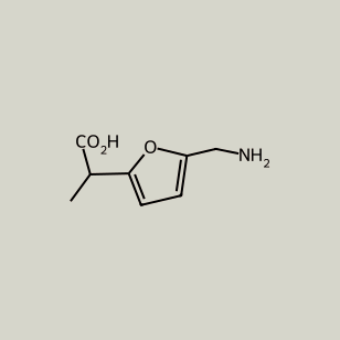 CC(C(=O)O)c1ccc(CN)o1